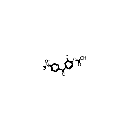 CC(=O)Oc1ccc(C(=O)c2ccc([N+](=O)[O-])cc2)cc1Cl